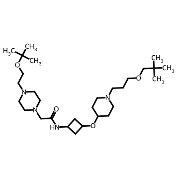 CC(C)(C)COCCCN1CCC(OC2CC(NC(=O)CN3CCN(CCOC(C)(C)C)CC3)C2)CC1